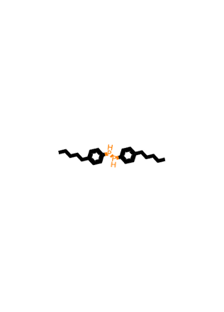 CCCCCc1ccc(PPc2ccc(CCCCC)cc2)cc1